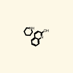 C1CCNCC1.Oc1ccc2ccccc2n1